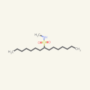 CCCCCCCC(CCCCCCC)S(=O)(=O)NC